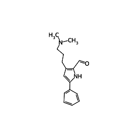 CN(C)CCCc1cc(-c2ccccc2)[nH]c1C=O